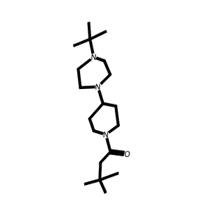 CC(C)(C)CC(=O)N1CCC(N2CCN(C(C)(C)C)CC2)CC1